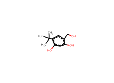 CC(C)(C)c1cc(CO)c(O)cc1O